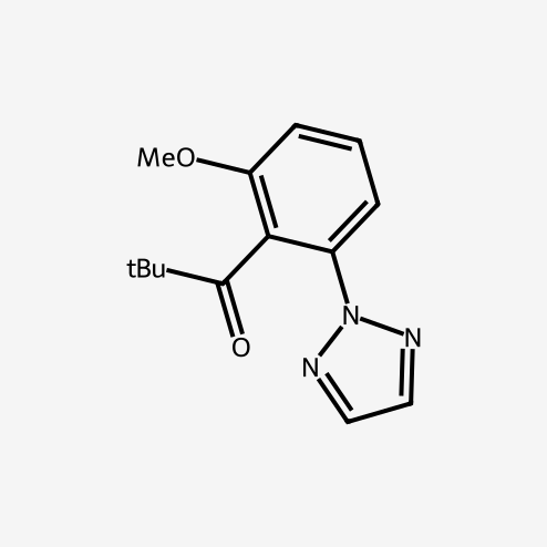 COc1cccc(-n2nccn2)c1C(=O)C(C)(C)C